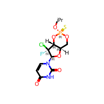 CC(C)O[P@]1(=S)OC[C@H]2O[C@@H](n3ccc(=O)[nH]c3=O)[C@@](F)(Cl)[C@@H]2O1